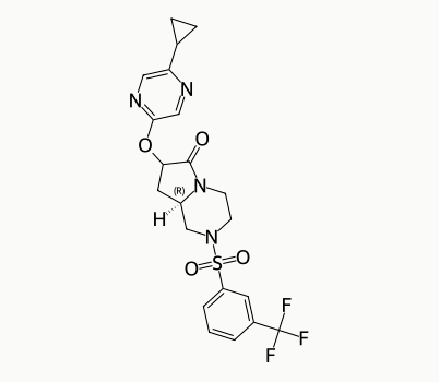 O=C1C(Oc2cnc(C3CC3)cn2)C[C@@H]2CN(S(=O)(=O)c3cccc(C(F)(F)F)c3)CCN12